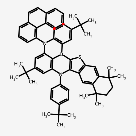 CC(C)(C)c1ccc(N2c3cc(C(C)(C)C)cc4c3B(c3cc(C(C)(C)C)ccc3N4c3cccc4ccc5ccccc5c34)c3sc4cc5c(cc4c32)C(C)(C)CCC5(C)C)cc1